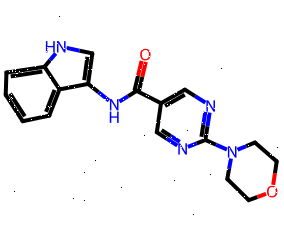 O=C(Nc1c[nH]c2ccccc12)c1cnc(N2CCOCC2)nc1